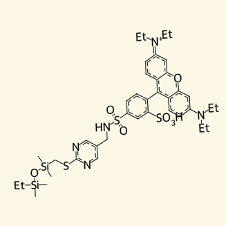 CCN(CC)c1ccc2c(-c3ccc(S(=O)(=O)NCc4cnc(SC[Si](C)(C)O[Si](C)(C)CC)nc4)cc3S(=O)(=O)O)c3ccc(=[N+](CC)CC)cc-3oc2c1